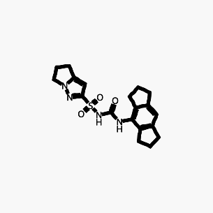 O=C(Nc1c2c(cc3c1CCC3)CCC2)NS(=O)(=O)c1cc2n(n1)CCC2